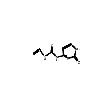 C=CNC(=O)Nc1cc[nH]c(=O)n1